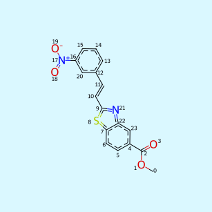 COC(=O)c1ccc2sc(C=Cc3cccc([N+](=O)[O-])c3)nc2c1